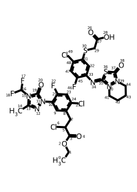 CCOC(=O)C(Cl)Cc1cc(-n2nc(C)n(C(F)F)c2=O)c(F)cc1Cl.O=C(O)CSc1cc(N=c2sc(=O)n3n2CCCC3)c(F)cc1Cl